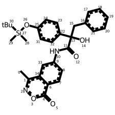 Cc1noc(=O)c2ccc(NC(=O)C(O)(Cc3ccccc3)c3ccc(O[Si](C)(C)C(C)(C)C)cc3)cc12